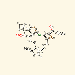 COC(=O)c1ccc(CCC[C@H]2CCC(C#N)C2CCCC(O)C2(c3csc(F)c3)CCC2)s1